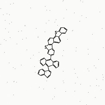 c1ccc2c(-c3c4ccccc4c(-c4ccc5c(c4)sc4ccc6c(ccc7c8ccccc8sc76)c45)c4ccccc34)cccc2c1